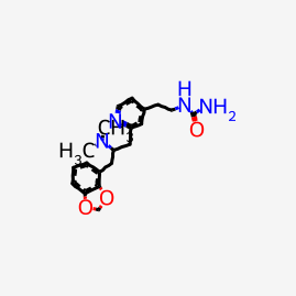 CN(C)C(Cc1cc(CCNC(N)=O)ccn1)Cc1cccc2c1OCO2